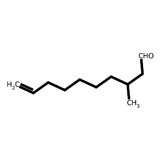 C=CCCCCCC(C)CC=O